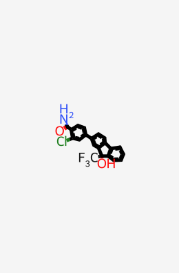 NC(=O)c1ccc(-c2ccc3c(c2)C(O)(C(F)(F)F)c2ccccc2-3)cc1Cl